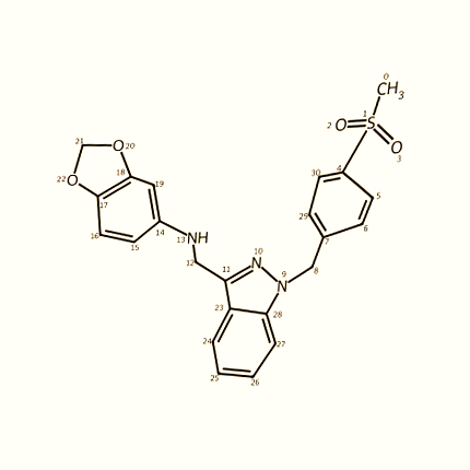 CS(=O)(=O)c1ccc(Cn2nc(CNc3ccc4c(c3)OCO4)c3ccccc32)cc1